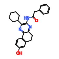 O=C(Cc1ccccc1)Nc1nc2c(nc1C1CCCCC1)-c1ccc(O)cc1CC2